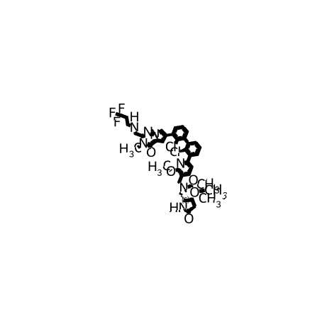 COc1nc(-c2cccc(-c3cccc(-c4cc5c(=O)n(C)c(CNCCC(F)(F)F)nn5c4)c3Cl)c2Cl)ccc1CN(C[C@@H]1CCC(=O)N1)C(=O)OC(C)(C)C